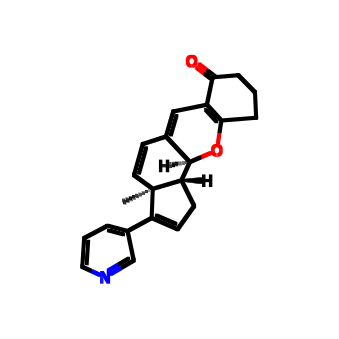 C[C@]12C=CC3=CC4=C(CCCC4=O)O[C@H]3[C@@H]1CC=C2c1cccnc1